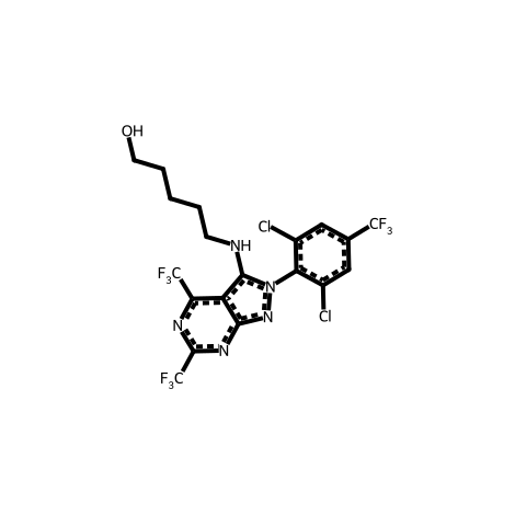 OCCCCCNc1c2c(C(F)(F)F)nc(C(F)(F)F)nc2nn1-c1c(Cl)cc(C(F)(F)F)cc1Cl